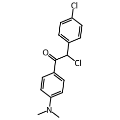 CN(C)c1ccc(C(=O)C(Cl)c2ccc(Cl)cc2)cc1